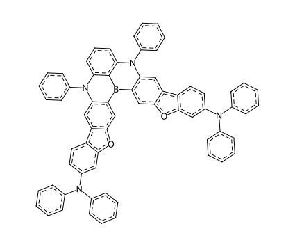 c1ccc(N(c2ccccc2)c2ccc3c(c2)oc2cc4c(cc23)N(c2ccccc2)c2cccc3c2B4c2cc4oc5cc(N(c6ccccc6)c6ccccc6)ccc5c4cc2N3c2ccccc2)cc1